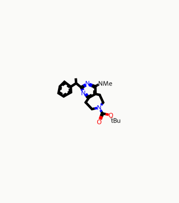 CNc1nc(C(C)c2ccccc2)nc2c1CCN(C(=O)OC(C)(C)C)CC2